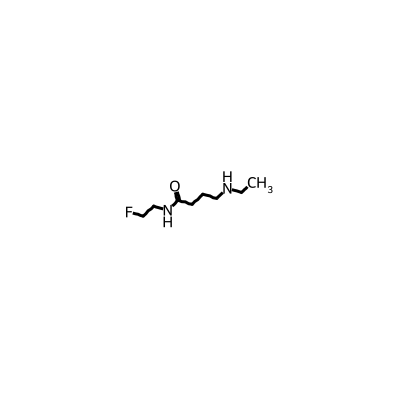 CCNCCCC(=O)NCCF